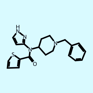 O=C(c1cccs1)N(c1cc[nH]n1)C1CCN(Cc2ccccc2)CC1